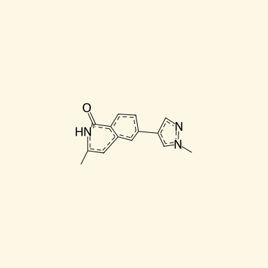 Cc1cc2cc(-c3cnn(C)c3)ccc2c(=O)[nH]1